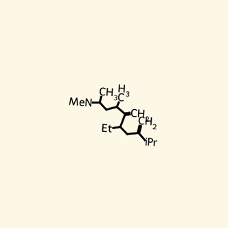 C=C(CC(CC)C(=C)C(C)CC(C)NC)C(C)C